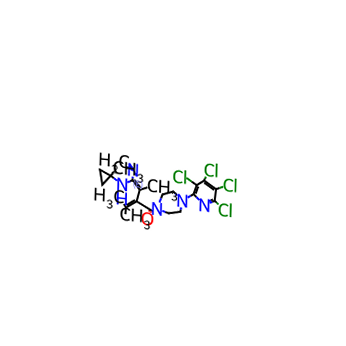 C=N/C(NC1(C)CC1)=C(\C)C(C(=O)N1CCN(c2nc(Cl)c(Cl)c(Cl)c2Cl)CC1)=C(C)C